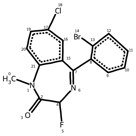 CN1C(=O)C(F)N=C(c2ccccc2Br)c2cc(Cl)ccc21